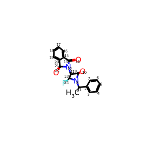 CC(c1ccccc1)N1C(=O)C(N2C(=O)c3ccccc3C2=O)C1F